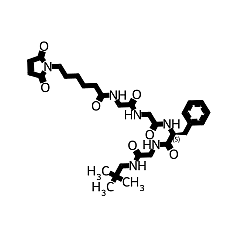 CC(C)(C)CNC(=O)CNC(=O)[C@H](Cc1ccccc1)NC(=O)CNC(=O)CNC(=O)CCCCCN1C(=O)C=CC1=O